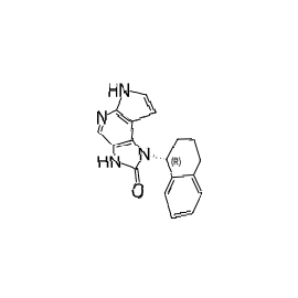 O=c1[nH]c2cnc3[nH]ccc3c2n1[C@@H]1CCCc2ccccc21